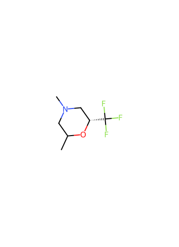 CC1CN(C)C[C@H](C(F)(F)F)O1